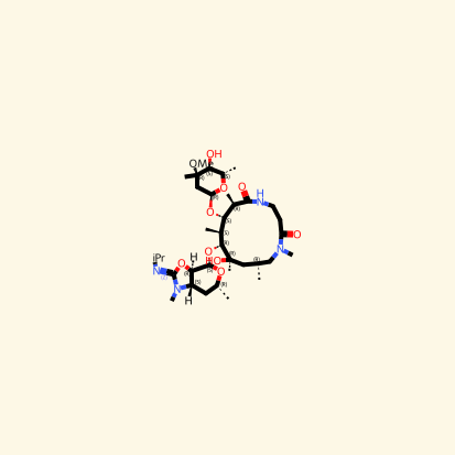 CO[C@]1(C)C[C@H](O[C@H]2[C@H](C)[C@@H](O[C@@H]3O[C@H](C)C[C@H]4[C@H]3O/C(=N\C(C)C)N4C)[C@](C)(O)C[C@@H](C)CN(C)C(=O)CCNC(=O)[C@@H]2C)O[C@@H](C)[C@@H]1O